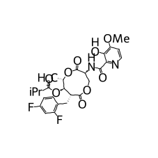 COc1ccnc(C(=O)N[C@H]2COC(=O)[C@H](Cc3ccc(F)cc3F)[C@@H](OC(=O)C(C)C)[C@H](C)OC2=O)c1O